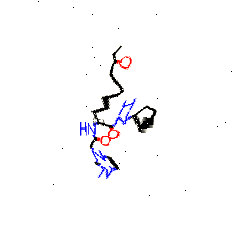 CCC(=O)CCCCC[C@H](NC(=O)Cn1ccnc1)C(=O)NC1CCCC1